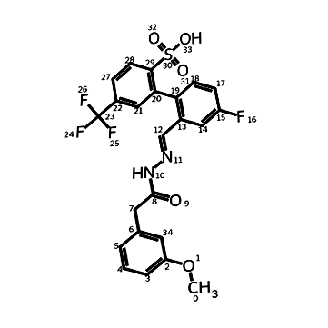 COc1cccc(CC(=O)NN=Cc2cc(F)ccc2-c2cc(C(F)(F)F)ccc2S(=O)(=O)O)c1